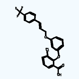 O=C(O)c1cccc(Cl)c1Oc1cccc(OCC=Cc2ccc(C(F)(F)F)cc2)c1